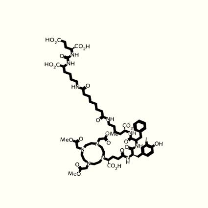 COC(=O)CN1CCN(CC(=O)OC)CCN([C@H](CCC(=O)N[C@H](Cc2ccc(O)c(I)c2)C(=O)NC(Cc2ccccc2)C(=O)N[C@H](CCCCNC(=O)CCCCCCC(=O)NCCCCC(NC(=O)N[C@@H](CCC(=O)O)C(=O)O)C(=O)O)C(=O)O)C(=O)O)CCN(CC(=O)OC)CC1